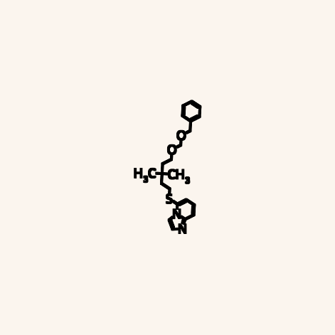 CC(C)(CCOCOCc1ccccc1)CCSc1cccc2nccn12